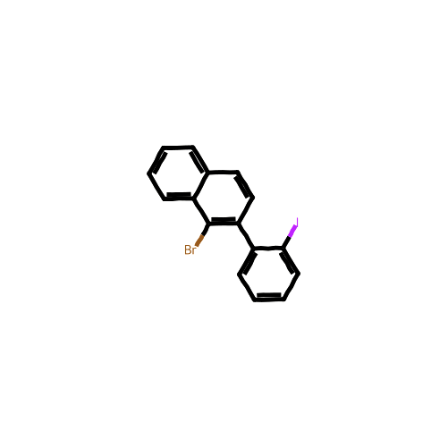 Brc1c(-c2ccccc2I)ccc2ccccc12